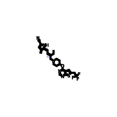 C=c1cc(C#N)[nH]/c1=C/C=C(\CC)CN1CCC(Oc2ncnc3sc(CC(F)(F)F)cc23)CC1